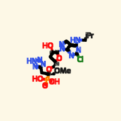 COC[C@](Cc1nn[nH]n1)(OC[C@@H]1C[C@@H](O)[C@H](n2ncc3c(NCC(C)C)nc(Cl)nc32)O1)P(=O)(O)O